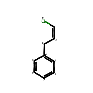 Cl/C=C\Cc1ccccc1